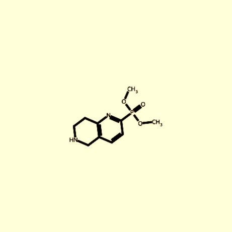 COP(=O)(OC)c1ccc2c(n1)CCNC2